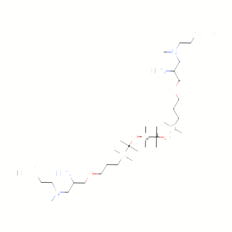 CN(CCS(=O)(=O)O)CC(N)COCCC[Si](C)(C)OC(C)(C)[Si](C)(C)OC(C)(C)[Si](C)(C)CCCOCC(N)CN(C)CCS(=O)(=O)O